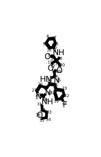 CC1(C(=O)Nc2ccccc2)COC(c2nc(-c3ccc(F)cc3)c(-c3ccnc(NCC4CCCO4)n3)[nH]2)OC1